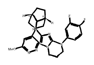 COc1cc(N2C[C@H]3CC[C@@H](C2)C3Nc2nc3n(n2)CCCN3c2ccc(F)c(F)c2)cnn1